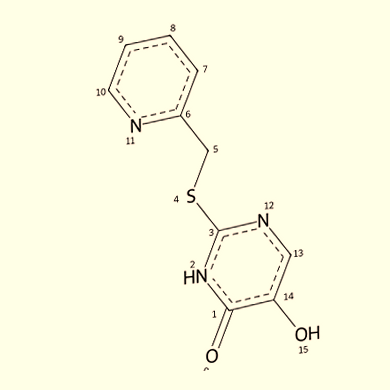 O=c1[nH]c(SCc2ccccn2)ncc1O